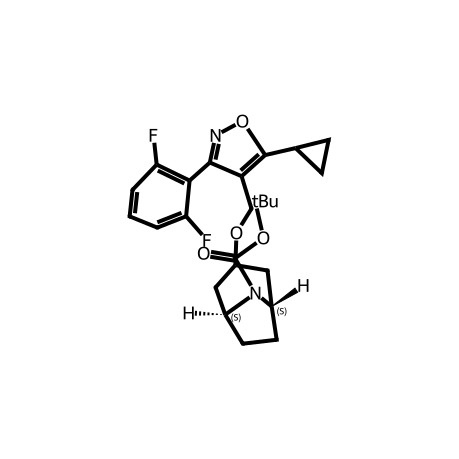 CC(C)(C)OC(=O)N1[C@H]2CC[C@H]1CC(OCc1c(-c3c(F)cccc3F)noc1C1CC1)C2